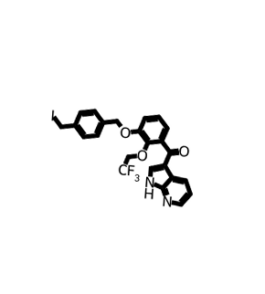 O=C(c1cccc(OCc2ccc(CI)cc2)c1OCC(F)(F)F)c1c[nH]c2ncccc12